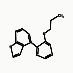 CCCOc1ccccc1-c1cccc2c1C=C[N]2